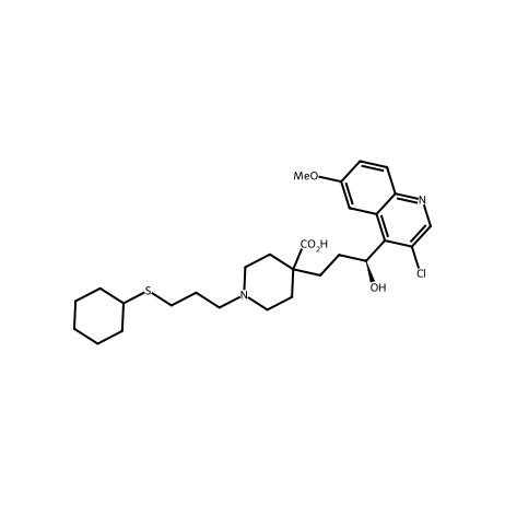 COc1ccc2ncc(Cl)c([C@@H](O)CCC3(C(=O)O)CCN(CCCSC4CCCCC4)CC3)c2c1